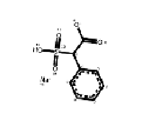 O=C([O-])C(c1ccccc1)S(=O)(=O)O.[Na+]